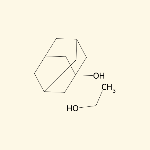 CCO.OC12CC3CC(CC(C3)C1)C2